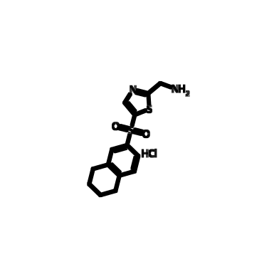 Cl.NCc1ncc(S(=O)(=O)c2ccc3c(c2)CCCC3)s1